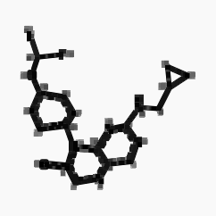 O=c1cnc2cnc(NCC3CC3)nc2n1-c1ccc(OC(F)F)cc1